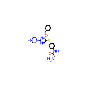 CN1CCN(c2ncc(Sc3ccc(NC(=O)CN)cc3)c(OCc3ccccc3)n2)CC1